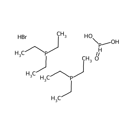 Br.CCP(CC)CC.CCP(CC)CC.O=[PH](O)O